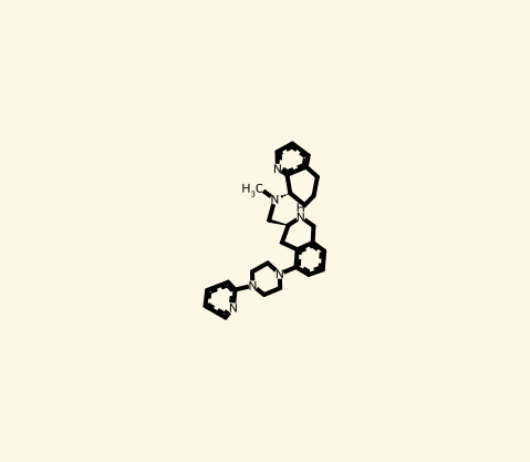 CN(C[C@@H]1Cc2c(cccc2N2CCN(c3ccccn3)CC2)CN1)[C@H]1CCCc2cccnc21